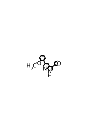 CCOc1ccccc1-c1cnc2[nH]cc(-c3ccoc3)c2c1